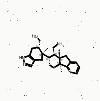 C[C@]1([C@H]2CC[C@]3(C)c4ncccc4C[C@H]3[C@@H]2CN)Cc2cn[nH]c2C[C@@H]1CO